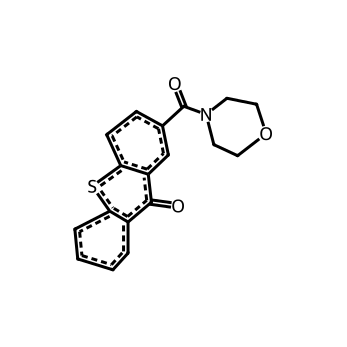 O=C(c1ccc2sc3ccccc3c(=O)c2c1)N1CCOCC1